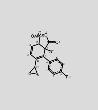 COC(=O)C1(Cl)C(c2ccc(F)cc2)=C(C2CC2)C=CC1OC